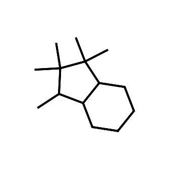 CC1C2CCCCC2C(C)(C)C1(C)C